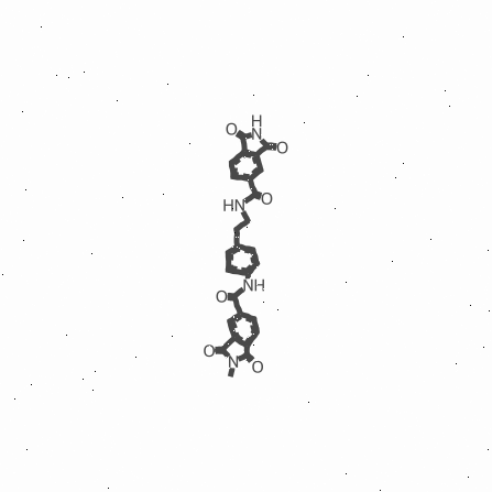 CN1C(=O)c2ccc(C(=O)Nc3ccc(CCNC(=O)c4ccc5c(c4)C(=O)NC5=O)cc3)cc2C1=O